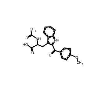 COc1ccc(C(=O)c2[nH]c3ccccc3c2CC(NC(C)=O)C(=O)O)cc1